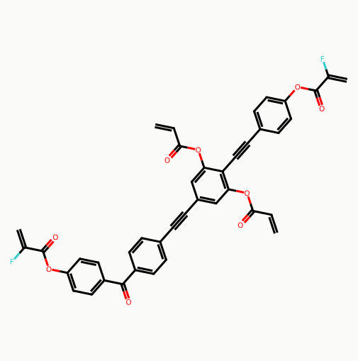 C=CC(=O)Oc1cc(C#Cc2ccc(C(=O)c3ccc(OC(=O)C(=C)F)cc3)cc2)cc(OC(=O)C=C)c1C#Cc1ccc(OC(=O)C(=C)F)cc1